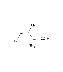 CC(C)CC(C#N)CC(=O)O.N